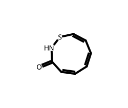 O=c1ccccccs[nH]1